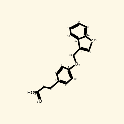 O=C(O)CCc1ccc(OCc2csc3ccccc23)cc1